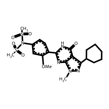 COc1cc(N(S(C)(=O)=O)S(C)(=O)=O)ccc1-c1nc2c(c(C3CCCCC3)nn2C)c(=O)[nH]1